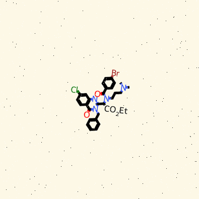 CCOC(=O)C(c1nc2cc(Cl)ccc2c(=O)n1Cc1ccccc1)N(CCCN(C)C)C(=O)c1ccc(Br)cc1